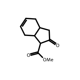 COC(=O)C1C(=O)CC2CC=CCC21